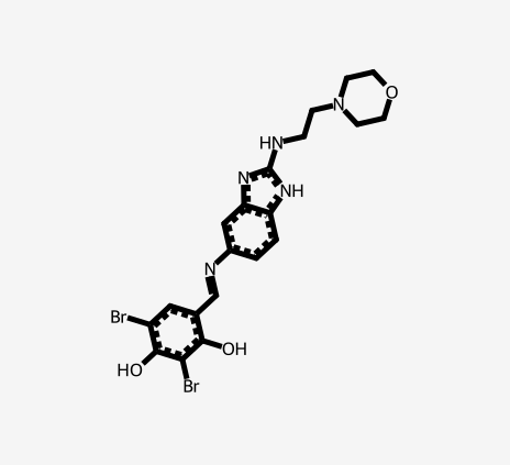 Oc1c(Br)cc(/C=N/c2ccc3[nH]c(NCCN4CCOCC4)nc3c2)c(O)c1Br